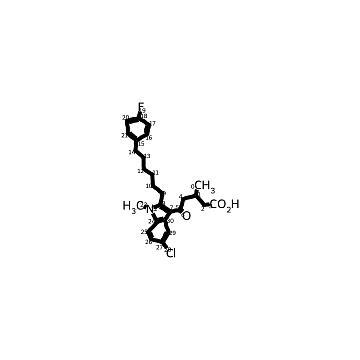 CC(CC(=O)O)CC(=O)c1c(CCCCCCc2ccc(F)cc2)n(C)c2ccc(Cl)cc12